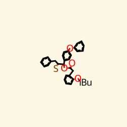 CCC(C)Oc1ccccc1CC(=O)OC(C(=S)Cc1ccccc1)c1ccc(Oc2ccccc2)cc1